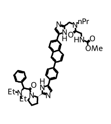 CCCN(Cc1ncc(-c2ccc3cc(-c4ccc(-c5cnc([C@@H]6CCCN6C(=O)C(c6ccccc6)N(CC)CC)[nH]5)cc4)ccc3c2)[nH]1)C(=O)CNC(=O)OC